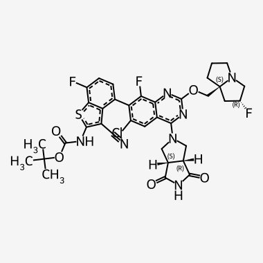 CC(C)(C)OC(=O)Nc1sc2c(F)ccc(-c3c(Cl)cc4c(N5C[C@@H]6C(=O)NC(=O)[C@@H]6C5)nc(OC[C@@]56CCCN5C[C@H](F)C6)nc4c3F)c2c1C#N